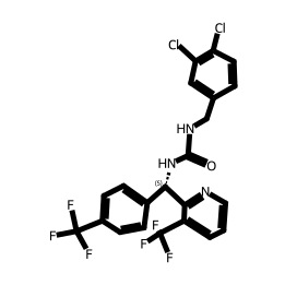 O=C(NCc1ccc(Cl)c(Cl)c1)N[C@@H](c1ccc(C(F)(F)F)cc1)c1ncccc1C(F)(F)F